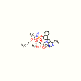 CCCCOC(=O)[C@H](C)NP(=O)(Oc1cccc2ccccc12)O[C@H](CC)[C@H]1O[C@@H](n2ccc3c(C)ncnc32)[C@](C)(O)[C@@H]1O